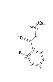 CC(C)(C)NCC(=O)c1ccccc1F